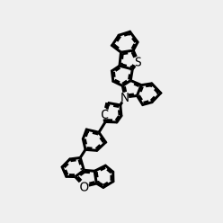 c1ccc2c(c1)oc1cccc(-c3ccc(-c4ccc(-n5c6ccccc6c6c7sc8ccccc8c7ccc65)cc4)cc3)c12